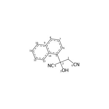 N#CCC(O)(C#N)c1cccc2ccccc12